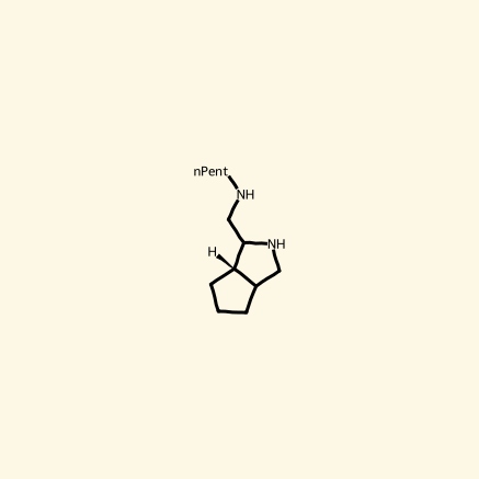 CCCCCNCC1NCC2CCC[C@@H]21